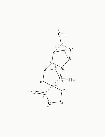 CC1CC2CC1C1C3C[C@@H](C21)C1(CCOC1=O)C3